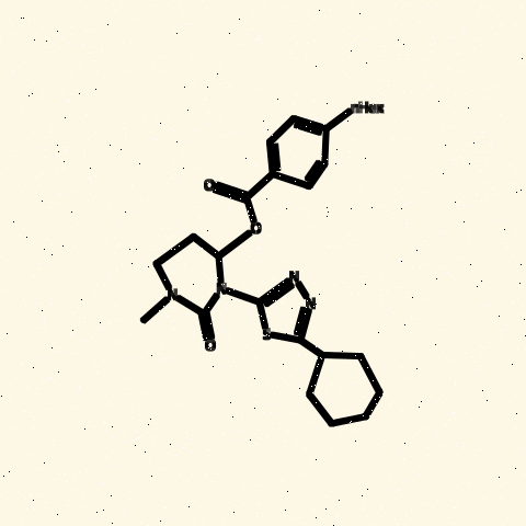 CCCCCCc1ccc(C(=O)OC2CCN(C)C(=O)N2c2nnc(C3CCCCC3)s2)cc1